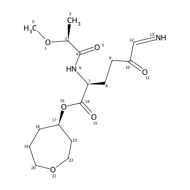 CO[C@@H](C)C(=O)N[C@@H](CCC(=O)C=N)C(=O)O[C@@H]1CCCOCC1